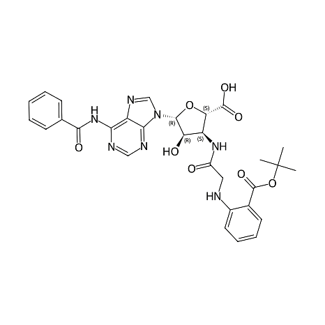 CC(C)(C)OC(=O)c1ccccc1NCC(=O)N[C@H]1[C@@H](O)[C@H](n2cnc3c(NC(=O)c4ccccc4)ncnc32)O[C@@H]1C(=O)O